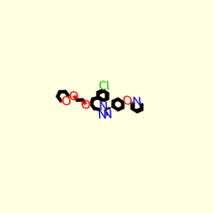 Clc1ccc2c(c1)CC(OCCOC1CCCCO1)Cc1nnc([C@H]3CC[C@H](Oc4ccccn4)CC3)n1-2